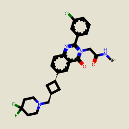 CC(C)NC(=O)Cn1c(-c2cccc(Cl)c2)nc2ccc([C@H]3C[C@H](CN4CCC(F)(F)CC4)C3)cc2c1=O